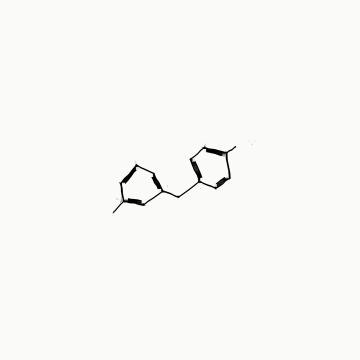 COc1ccc(Cc2cccc(C(C)(C)C)c2)cc1